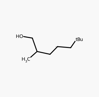 CC(CO)C[CH]CC(C)(C)C